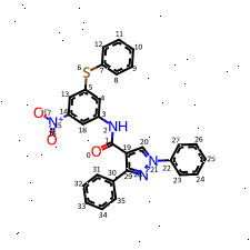 O=C(Nc1cc(Sc2ccccc2)cc([N+](=O)[O-])c1)c1cn(-c2ccccc2)nc1-c1ccccc1